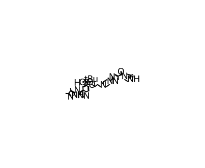 Cc1n[nH]c(Nc2ncnc3cc(OCCCN4CCN(c5ncc(C(=O)N6CCN[C@H](C)C6)cn5)CC4)c(S(=O)(=O)C(C)(C)C)cc23)c1C